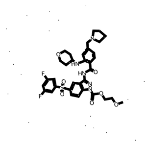 COCCOC(=O)n1nc(NC(=O)c2ccc(CN3CCCC3)cc2NC2CCOCC2)c2cc(S(=O)(=O)c3cc(F)cc(F)c3)ccc21